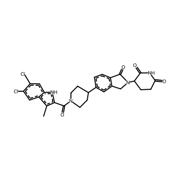 Cc1c(C(=O)N2CCC(c3ccc4c(c3)CN(C3CCC(=O)NC3=O)C4=O)CC2)[nH]c2cc(Cl)c(Cl)cc12